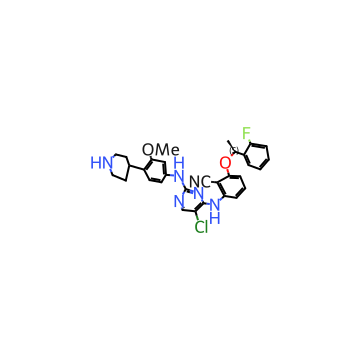 COc1cc(Nc2ncc(Cl)c(Nc3cccc(O[C@@H](C)c4ccccc4F)c3C#N)n2)ccc1C1CCNCC1